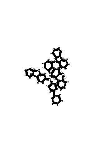 c1ccc(-c2ccc(N(c3ccc4c(c3)oc3ccccc34)c3ccc(-c4cccc5c6ccccc6n(-c6ccccc6)c45)c4oc5ccccc5c34)cc2)cc1